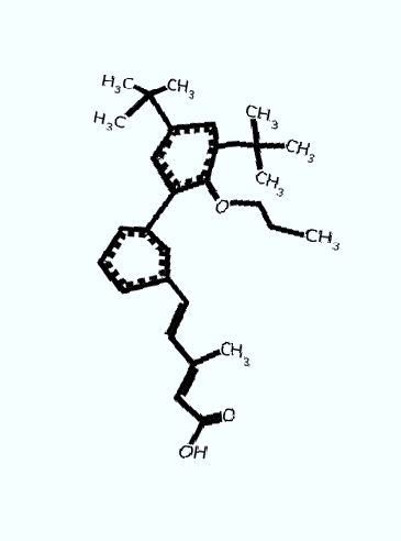 CCCOc1c(-c2cccc(/C=C/C(C)=C/C(=O)O)c2)cc(C(C)(C)C)cc1C(C)(C)C